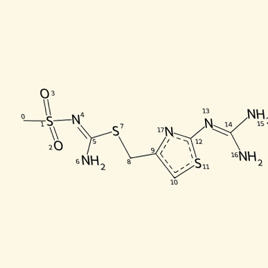 CS(=O)(=O)/N=C(\N)SCc1csc(N=C(N)N)n1